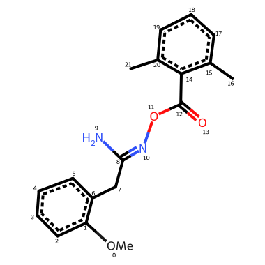 COc1ccccc1C/C(N)=N/OC(=O)c1c(C)cccc1C